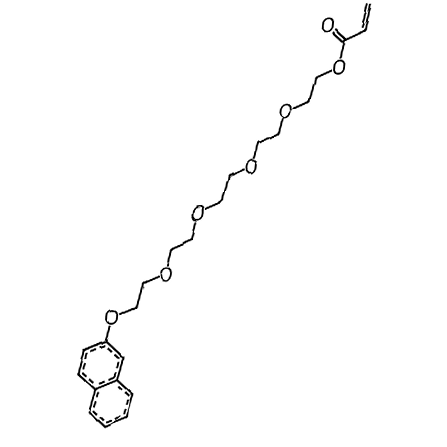 C=CC(=O)OCCOCCOCCOCCOCCOc1ccc2ccccc2c1